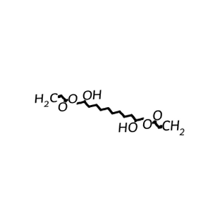 C=CC(=O)OCC(O)CCCCCCCCC(O)COC(=O)C=C